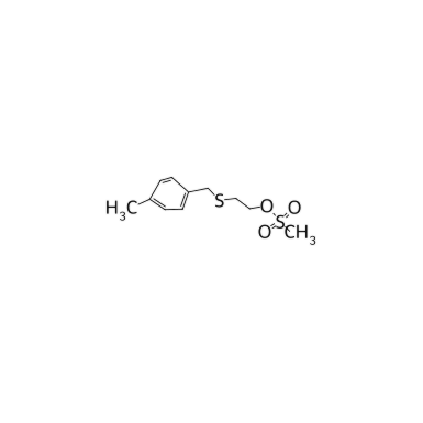 Cc1ccc(CSCCOS(C)(=O)=O)cc1